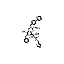 CC(C)(C)OC(=O)N(CC[C@H](O)[C@H](Cc1ccccc1)NC(=O)[C@@H](NC(=O)OCc1cncs1)C(C)(C)C)Cc1ccc(-c2ccccn2)cc1